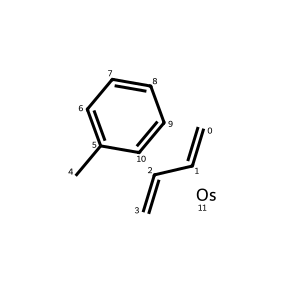 C=CC=C.Cc1ccccc1.[Os]